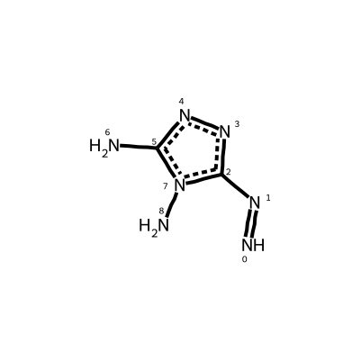 N=Nc1nnc(N)n1N